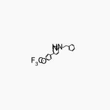 FC(F)(F)Oc1ccc(-c2ccc(NCCc3ccccc3)nc2)cc1